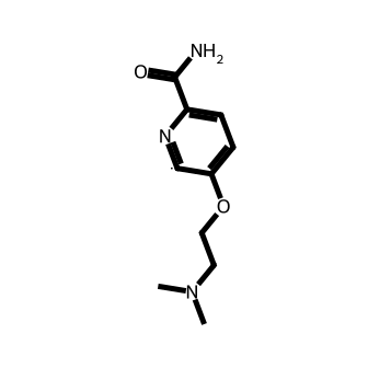 CN(C)CCOc1[c]nc(C(N)=O)cc1